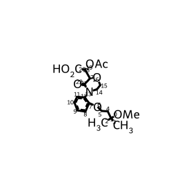 COC(C)(C)CCOc1ccccc1N1CCO[C@H]([C@@H](OC(C)=O)C(=O)O)C1=O